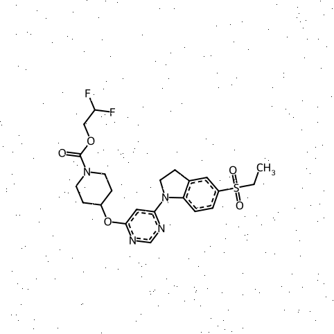 CCS(=O)(=O)c1ccc2c(c1)CCN2c1cc(OC2CCN(C(=O)OCC(F)F)CC2)ncn1